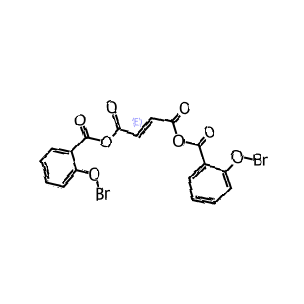 O=C(/C=C/C(=O)OC(=O)c1ccccc1OBr)OC(=O)c1ccccc1OBr